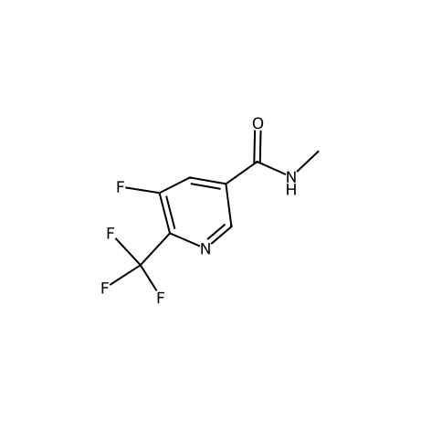 CNC(=O)c1cnc(C(F)(F)F)c(F)c1